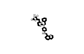 O=C1NC(=O)/C(=C/c2ccnc(N(Cc3ccccc3)[C@H]3CC[C@H](NCc4cccc5cccnc45)CC3)n2)S1